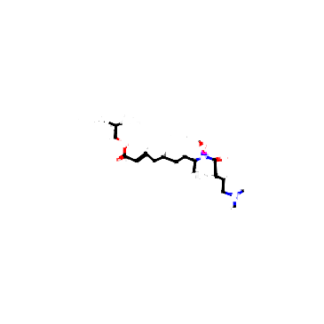 CCCCCCCCCCON(C(=O)CCCN(C)C)C(CCCCC=CC(=O)OCC(CCCCCC)CCCCCCCC)CCCCCCCCCC